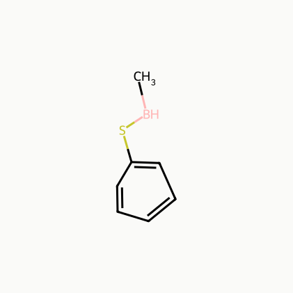 CBSc1ccccc1